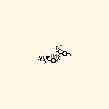 CCc1ccc(C(C(=O)Nc2cc(CC3(C(=O)OC(C)(C)C)CC3)ccc2F)C(C)C(F)(F)F)cc1